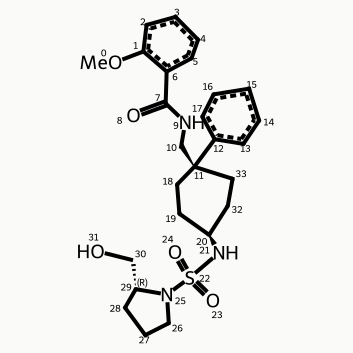 COc1ccccc1C(=O)NC[C@]1(c2ccccc2)CC[C@H](NS(=O)(=O)N2CCC[C@@H]2CO)CC1